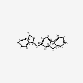 C(=C1CC[n+]2ccccc21)c1ccc2c(c1)Cc1ccccc1-2